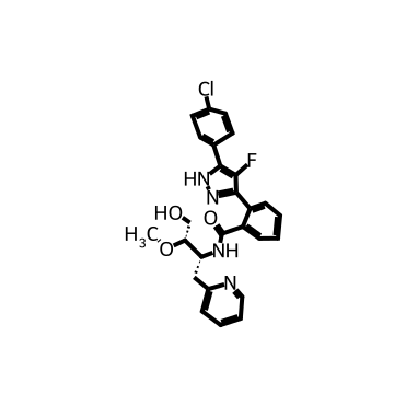 CO[C@H](CO)[C@@H](Cc1ccccn1)NC(=O)c1ccccc1-c1n[nH]c(-c2ccc(Cl)cc2)c1F